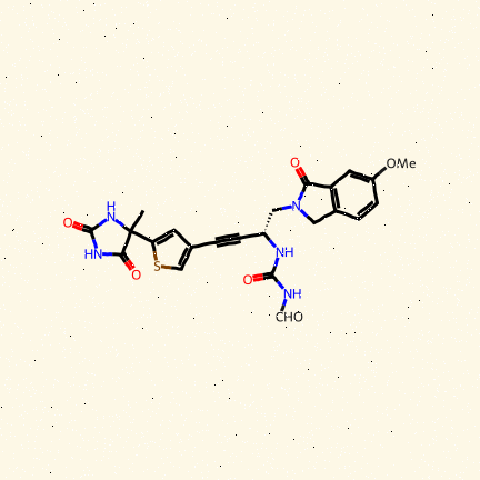 COc1ccc2c(c1)C(=O)N(C[C@@H](C#Cc1csc(C3(C)NC(=O)NC3=O)c1)NC(=O)NC=O)C2